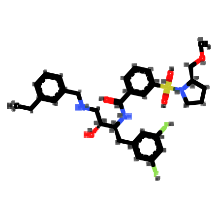 CCc1cccc(CNC[C@@H](O)[C@H](Cc2cc(F)cc(F)c2)NC(=O)c2cccc(S(=O)(=O)N3CCC[C@@H]3COC)c2)c1